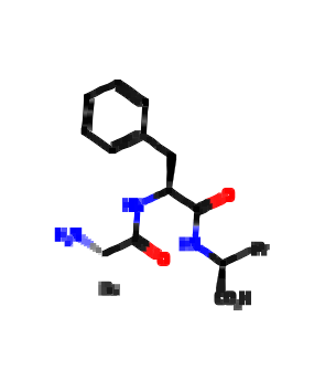 CC[C@H](C)[C@H](N)C(=O)N[C@@H](Cc1ccccc1)C(=O)N[C@H](C(=O)O)C(C)C